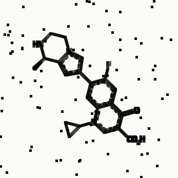 C[C@H]1NCCn2cc(-c3cc4c(cc3F)c(=O)c(C(=O)O)cn4C3CC3)cc21